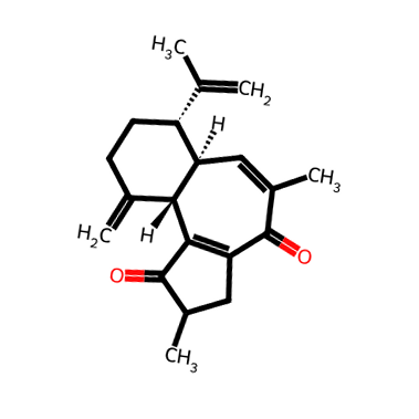 C=C1CC[C@H](C(=C)C)[C@H]2C=C(C)C(=O)C3=C(C(=O)C(C)C3)[C@H]12